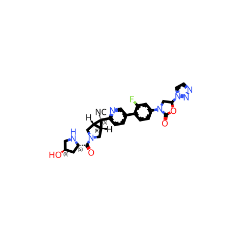 N#C[C@]1(c2ccc(-c3ccc(N4CC(n5ccnn5)OC4=O)cc3F)cn2)[C@@H]2CN(C(=O)[C@@H]3C[C@@H](O)CN3)C[C@@H]21